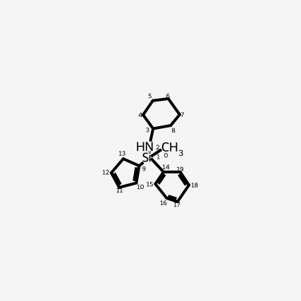 C[Si](NC1CCCCC1)(C1=CC=CC1)c1ccccc1